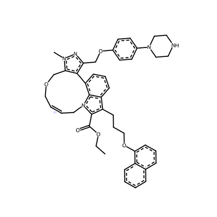 CCOC(=O)c1c(CCCOc2cccc3ccccc23)c2cccc3c2n1C/C=C\COCc1c-3c(COc2ccc(N3CCNCC3)cc2)nn1C